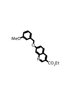 CCOC(=O)c1cnc2cc(OCc3cccc(OC)c3)ccc2c1